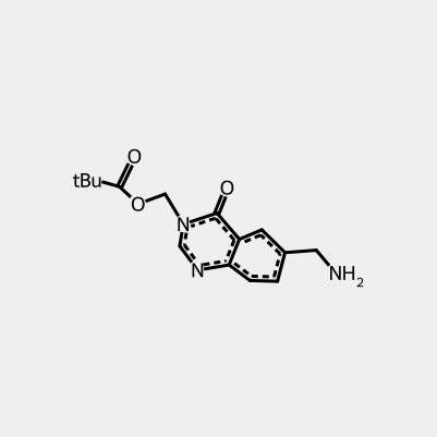 CC(C)(C)C(=O)OCn1cnc2ccc(CN)cc2c1=O